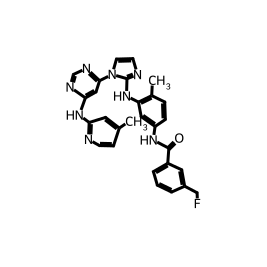 Cc1ccnc(Nc2cc(-n3ccnc3Nc3cc(NC(=O)c4cccc(CF)c4)ccc3C)ncn2)c1